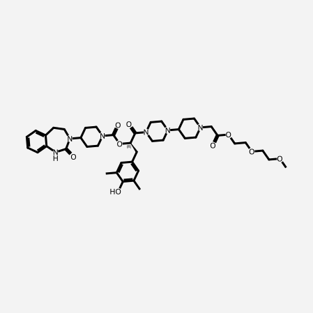 COCCOCCOC(=O)CN1CCC(N2CCN(C(=O)[C@@H](Cc3cc(C)c(O)c(C)c3)OC(=O)N3CCC(N4CCc5ccccc5NC4=O)CC3)CC2)CC1